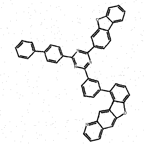 c1ccc(-c2ccc(-c3nc(-c4cccc(-c5cccc6oc7cc8cccnc8cc7c56)c4)nc(-c4ccc5c(c4)oc4ccccc45)n3)cc2)cc1